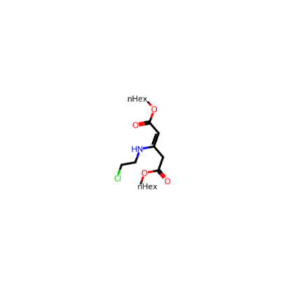 CCCCCCOC(=O)C=C(CC(=O)OCCCCCC)NCCCl